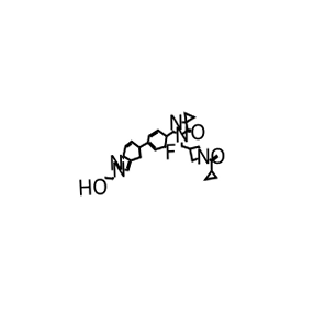 O=C(C1CC1)N1CC(CN2C(=O)C3(CC3)N=C2C2C=CC(C3C=Cc4nn(CCO)cc4C3)=CC2F)C1